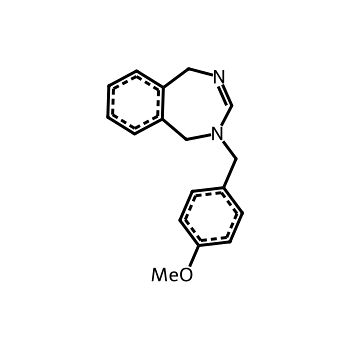 COc1ccc(CN2C=NCc3ccccc3C2)cc1